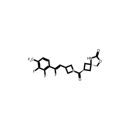 O=C1N[C@]2(CO1)C[C@H](C(=O)N1CC(/C=C(\F)c3ccc(C(F)(F)F)c(F)c3F)C1)C2